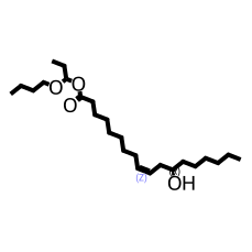 CCCCCC[C@@H](O)C/C=C\CCCCCCCC(=O)OC(CC)OCCCC